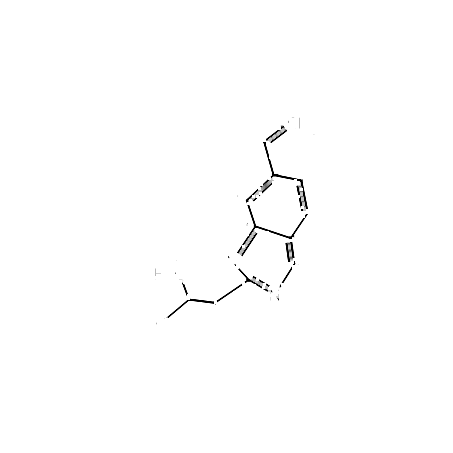 C=Cc1ccc2cnc(CC(C)C)nc2c1